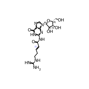 N=C(N)NCC/C=C/C(=O)Nc1nc2c(ncn2[C@@H]2O[C@H](CO)[C@@H](O)[C@H]2O)c(=O)[nH]1